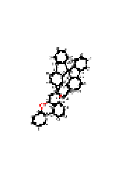 c1ccc2c(c1)Oc1cc(-c3ccc4c(c3)C3(c5ccccc5-4)c4ccccc4-c4ccc5ccccc5c43)cc3cccc-2c13